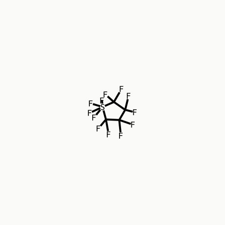 FC1(F)C(F)(F)C(F)(F)S(F)(F)(F)(F)C1(F)F